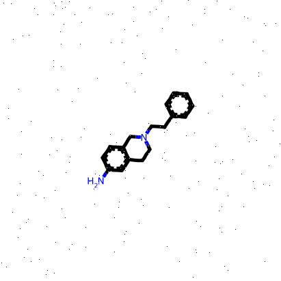 Nc1ccc2c(c1)CCN(CCc1ccccc1)C2